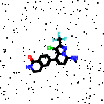 CNc1ccc(-c2ccc3c(c2)CCNC3=O)c2c(Cl)c(C(F)(F)F)nn12